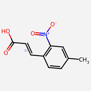 Cc1ccc(/C=C/C(=O)O)c([N+](=O)[O-])c1